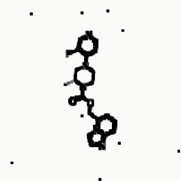 C[C@@H]1CN(c2ccncc2F)CCN1C(=O)OCc1cccc2nccn12